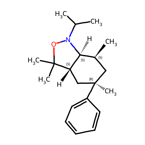 CC(C)N1OC(C)(C)[C@H]2C[C@](C)(c3ccccc3)C[C@H](C)[C@@H]21